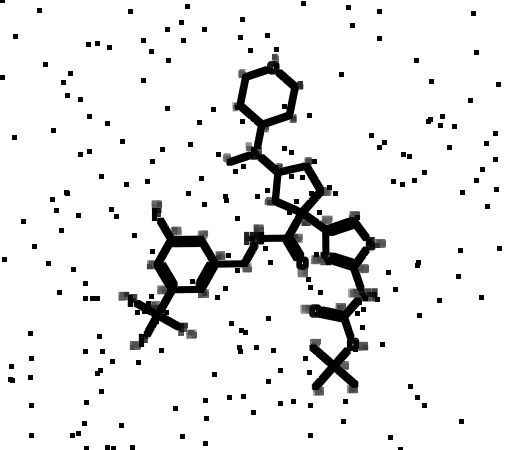 CN(C1CCOCC1)C1CCC(C(=O)NCc2cc(F)cc(C(F)(F)F)c2)(c2csc(NC(=O)OC(C)(C)C)n2)C1